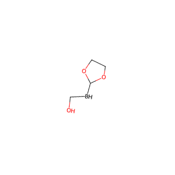 OCBC1OCCO1